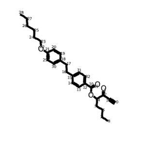 C#CC(=O)C(CCCC)OC(=O)c1ccc(CCc2ccc(OCCCCCC)cc2)cc1